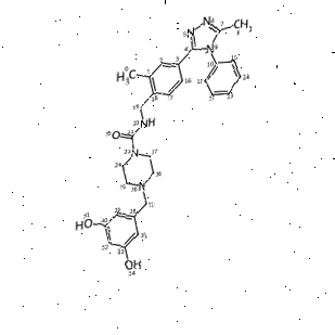 Cc1cc(-c2nnc(C)n2-c2ccccc2)ccc1CNC(=O)N1CCN(Cc2cc(O)cc(O)c2)CC1